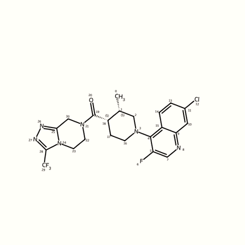 C[C@@H]1CN(c2c(F)cnc3cc(Cl)ccc23)CC[C@@H]1C(=O)N1CCn2c(nnc2C(F)(F)F)C1